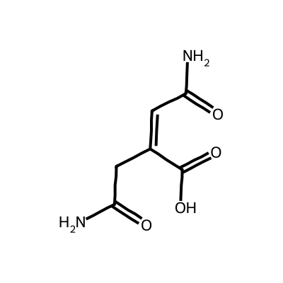 NC(=O)C=C(CC(N)=O)C(=O)O